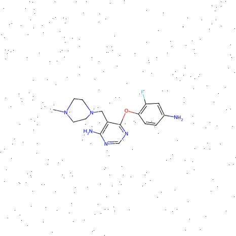 CN1CCN(Cc2c(N)ncnc2Oc2ccc(N)cc2F)CC1